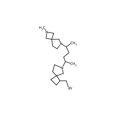 CC(C)CC1CCC12CCN(C(C)CCC(C)N1CCC3(CN(C)C3)C1)C2